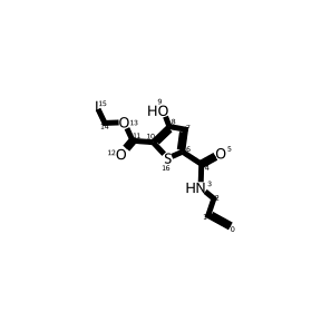 C=CCNC(=O)c1cc(O)c(C(=O)OCI)s1